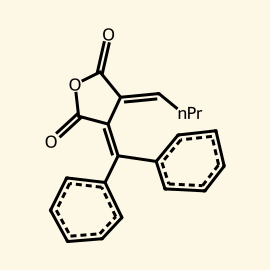 CCC/C=C1/C(=O)OC(=O)C1=C(c1ccccc1)c1ccccc1